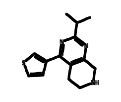 CC(C)c1nc2c(c(-c3ccsc3)n1)CCNC2